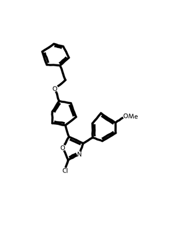 COc1ccc(-c2nc(Cl)oc2-c2ccc(OCc3ccccc3)cc2)cc1